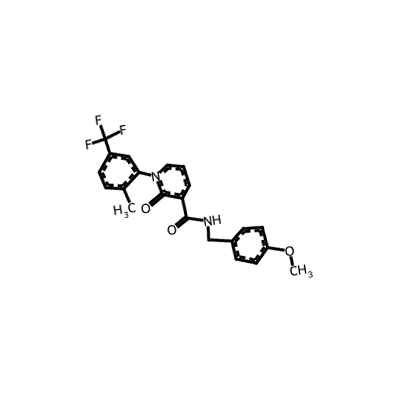 COc1ccc(CNC(=O)c2cccn(-c3cc(C(F)(F)F)ccc3C)c2=O)cc1